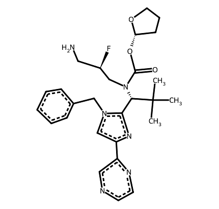 CC(C)(C)[C@H](c1nc(-c2cnccn2)cn1Cc1ccccc1)N(C[C@H](F)CN)C(=O)O[C@H]1CCCO1